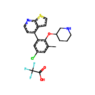 Cc1cc(Cl)cc(-c2ccnc3sccc23)c1OC1CCCNC1.O=C(O)C(F)(F)F